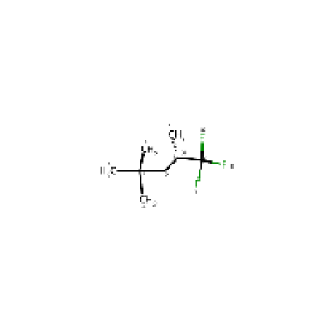 C[C@@H](CC(C)(C)C)C(F)(F)F